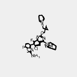 Nc1nc2c(-c3c(Cl)cc4c(N5CC6CCC(C5)N6)nc(OCC5(CN6CCCC6)CC5)nc4c3F)ccc(F)c2s1